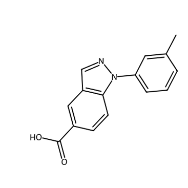 Cc1cccc(-n2ncc3cc(C(=O)O)ccc32)c1